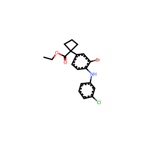 CCOC(=O)C1(c2ccc(Nc3cccc(Cl)c3)c(Br)c2)CCC1